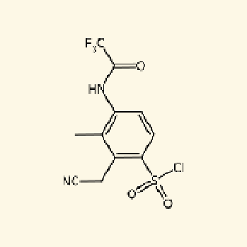 Cc1c(NC(=O)C(F)(F)F)ccc(S(=O)(=O)Cl)c1CC#N